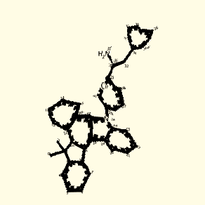 CC1(C)c2ccccc2-c2c1c1ccccc1c1c2c2ccccc2n1-c1ccc([C@@H](N)Cc2ccccc2)cc1